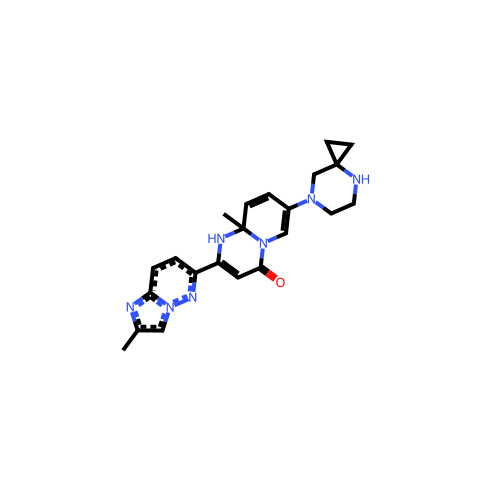 Cc1cn2nc(C3=CC(=O)N4C=C(N5CCNC6(CC6)C5)C=CC4(C)N3)ccc2n1